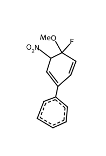 COC1(F)C=CC(c2ccccc2)=CC1[N+](=O)[O-]